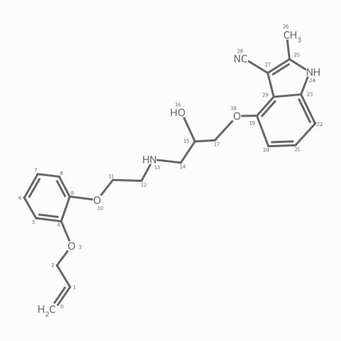 C=CCOc1ccccc1OCCNCC(O)COc1cccc2[nH]c(C)c(C#N)c12